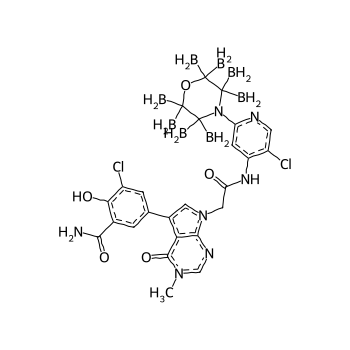 BC1(B)OC(B)(B)C(B)(B)N(c2cc(NC(=O)Cn3cc(-c4cc(Cl)c(O)c(C(N)=O)c4)c4c(=O)n(C)cnc43)c(Cl)cn2)C1(B)B